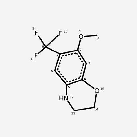 COc1cc2c(cc1C(F)(F)F)NCCO2